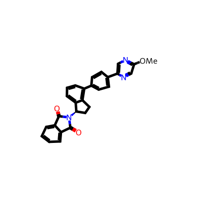 COc1cnc(-c2ccc(-c3cccc4c3CC[C@H]4N3C(=O)c4ccccc4C3=O)cc2)cn1